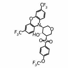 O=S(=O)(c1ccc(OC(F)(F)F)cc1)[C@@H]1COC[C@H](N2c3ccc(C(F)(F)F)cc3Oc3cc(C(F)(F)F)ccc32)[C@H]1O